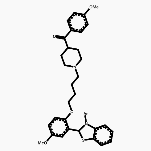 COc1ccc(C(=O)C2CCN(CCCCOc3ccc(OC)cc3C3Sc4ccccc4N3C(C)=O)CC2)cc1